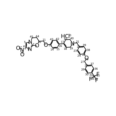 Cl.O=[N+]([O-])c1cn2c(n1)OC(COc1ccc(C3=CCN(Cc4ccc(OCc5ccc(C(F)(F)F)cc5)cc4)CC3)cc1)CC2